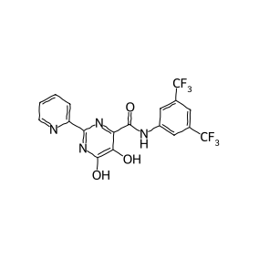 O=C(Nc1cc(C(F)(F)F)cc(C(F)(F)F)c1)c1nc(-c2ccccn2)nc(O)c1O